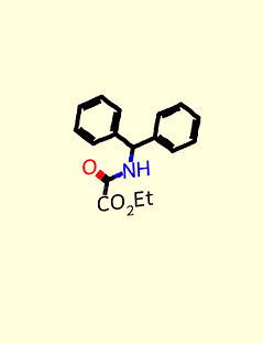 CCOC(=O)C(=O)NC(c1ccccc1)c1ccccc1